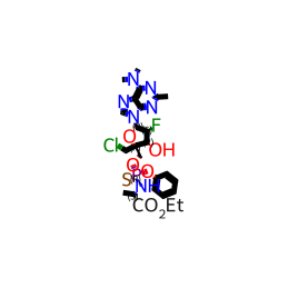 CCOC(=O)[C@H](C)N[P@@](=S)(OC[C@@]1(CCl)O[C@@H](n2cnc3c(N(C)C)nc(C)nc32)[C@@H](F)[C@@H]1O)Oc1ccccc1